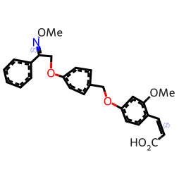 CO/N=C(\COc1ccc(COc2ccc(/C=C\C(=O)O)c(OC)c2)cc1)c1ccccc1